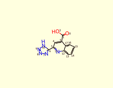 O=C(O)c1cc(-c2nnn[nH]2)nc2ccccc12